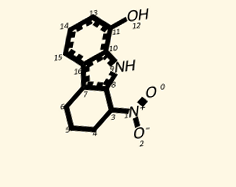 O=[N+]([O-])C1CCCc2c1[nH]c1c(O)cccc21